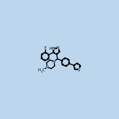 CN1CCN(C(c2ccc(-c3ccsc3)cc2)c2cn[nH]c2-c2ccccc2F)CC1